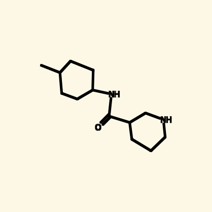 CC1CCC(NC(=O)C2CCCNC2)CC1